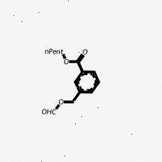 CCCCCOC(=O)c1cccc(COC=O)c1